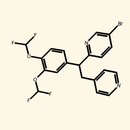 FC(F)Oc1ccc(C(Cc2ccncc2)c2ccc(Br)cn2)cc1OC(F)F